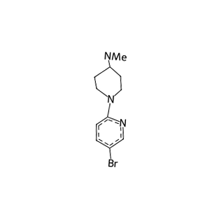 CNC1CCN(c2ccc(Br)cn2)CC1